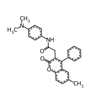 Cc1ccc2oc(=O)c(CC(=O)Nc3ccc(N(C)C)cc3)c(-c3ccccc3)c2c1